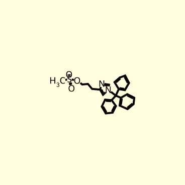 CS(=O)(=O)OCCCc1cn(C(c2ccccc2)(c2ccccc2)c2ccccc2)cn1